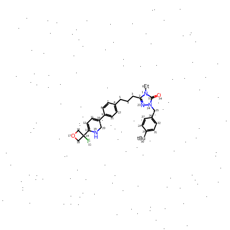 CCn1c(CCCc2ccc(C3=CC=C(C4(F)COC4)NC3)cc2)nn(Cc2ccc(C(C)(C)C)cc2)c1=O